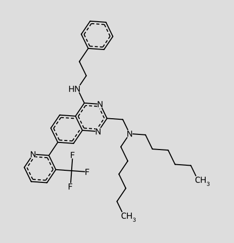 CCCCCCN(CCCCCC)Cc1nc(NCCc2ccccc2)c2ccc(-c3ncccc3C(F)(F)F)cc2n1